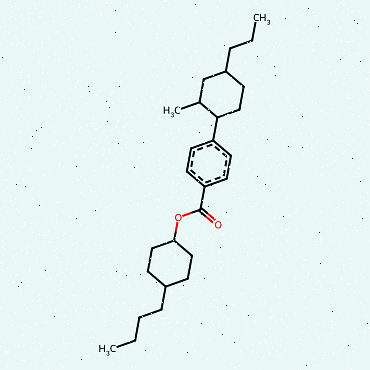 CCCCC1CCC(OC(=O)c2ccc(C3CCC(CCC)CC3C)cc2)CC1